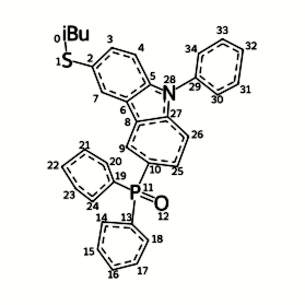 CCC(C)Sc1ccc2c(c1)c1cc(P(=O)(c3ccccc3)c3ccccc3)ccc1n2-c1ccccc1